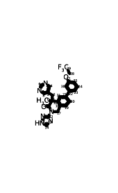 CC1(Cc2cncnc2)C(=O)N(c2nc[nH]n2)Cc2ccc(-c3cccc(OCC(F)(F)F)c3)cc21